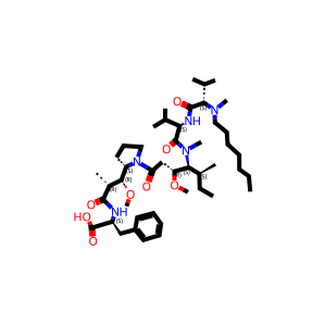 CCCCCCCN(C)[C@H](C(=O)N[C@H](C(=O)N(C)[C@@H]([C@@H](C)CC)[C@@H](CC(=O)N1CCC[C@H]1[C@H](OC)[C@@H](C)C(=O)N[C@@H](Cc1ccccc1)C(=O)O)OC)C(C)C)C(C)C